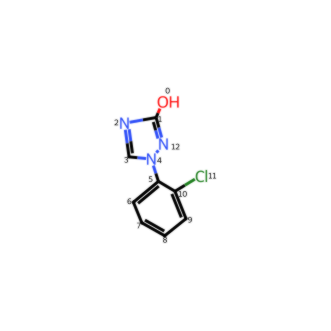 Oc1ncn(-c2ccccc2Cl)n1